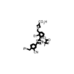 CCc1c(CN2CC(C(=O)O)C2)cccc1-c1nnc(-c2ccc(CC(C)C)c(C#N)c2)s1.O=C(O)C(F)(F)F